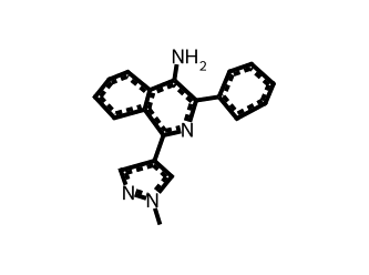 Cn1cc(-c2nc(-c3ccccc3)c(N)c3ccccc23)cn1